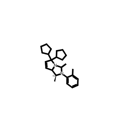 Cc1ccccc1N1C(C)N2C(C=CC2(C2CCCC2)C2CCCC2)[C@@H]1C